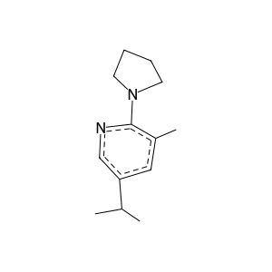 Cc1cc(C(C)C)cnc1N1CCCC1